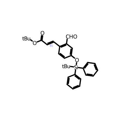 CC(C)(C)OC(=O)/C=C/c1ccc(O[Si](c2ccccc2)(c2ccccc2)C(C)(C)C)cc1C=O